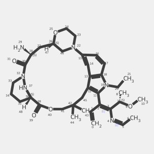 C=C/C(=C(\N=C/C)[C@H](C)OC)c1c2c3cc(ccc3n1CC)N1CCO[C@@H](C[C@H](N)C(=O)N3CCC[C@H](N3)C(=O)OCC(C)(C)C2)C1